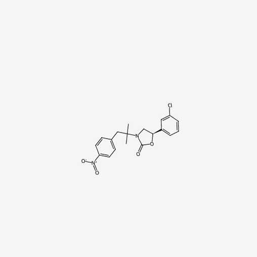 CC(C)(Cc1ccc([N+](=O)[O-])cc1)N1C[C@@H](c2cccc(Cl)c2)OC1=O